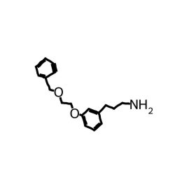 NCCCc1cccc(OCCOCc2c#cccc2)c1